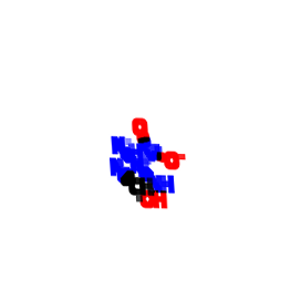 C#N.O=[NH+][O-].[N-]=[N+]=N.[OH]